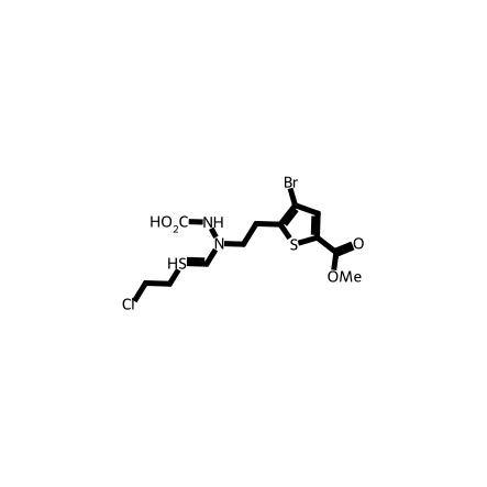 COC(=O)c1cc(Br)c(CCN(C=[SH]CCCl)NC(=O)O)s1